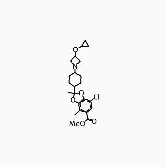 COC(=O)c1cc(Cl)c2c(c1C)OC(C)(C1CCC(N3CC(OC4CC4)C3)CC1)O2